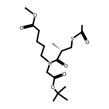 COC(=O)CCCCN(CC(=O)OC(C)(C)C)C(=O)[C@H](C)CSC(C)=O